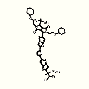 CCCCCC(C)(c1cc2sc(-c3ccc(-c4cc5sc(C6=C7C(=O)N(CCOC8CCCCC8)C(C(C)(CCC)CCCC)=C7C(=O)N6CCOC6CCCCC6)cc5s4)s3)cc2s1)C(CC)C(C)C